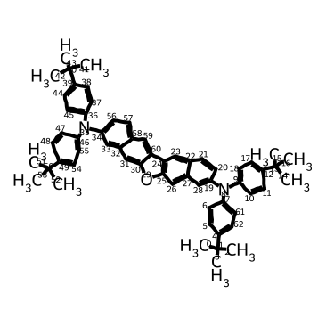 CC(C)(C)c1ccc(N(c2ccc(C(C)(C)C)cc2)c2ccc3cc4c(cc3c2)oc2cc3cc(N(c5ccc(C(C)(C)C)cc5)c5ccc(C(C)(C)C)cc5)ccc3cc24)cc1